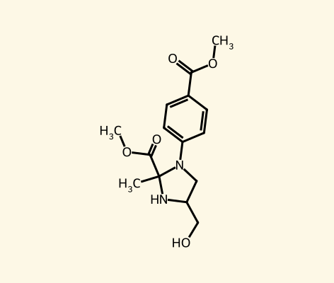 COC(=O)c1ccc(N2CC(CO)NC2(C)C(=O)OC)cc1